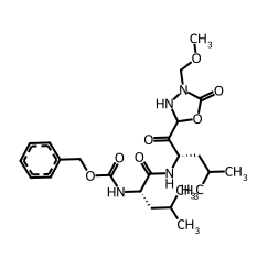 COCN1NC(C(=O)[C@H](CC(C)C)NC(=O)[C@H](CC(C)C)NC(=O)OCc2ccccc2)OC1=O